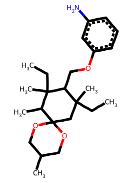 CCC1(C)CC2(OCC(C)CO2)C(C)C(C)(CC)C1COc1cccc(N)c1